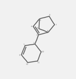 C1=CC(C2=CC3CCC2C3)CCC1